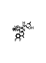 CC(C)C[C@H](CO)Nc1nc(CC(C)c2cccc(F)c2F)nc(NS(C)(=O)=O)n1